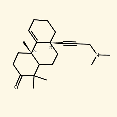 CN(C)CC#C[C@]12CCCC=C1[C@@]1(C)CCC(=O)C(C)(C)C1CC2